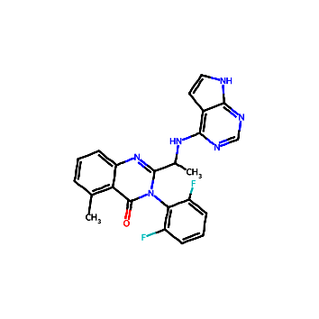 Cc1cccc2nc(C(C)Nc3ncnc4[nH]ccc34)n(-c3c(F)cccc3F)c(=O)c12